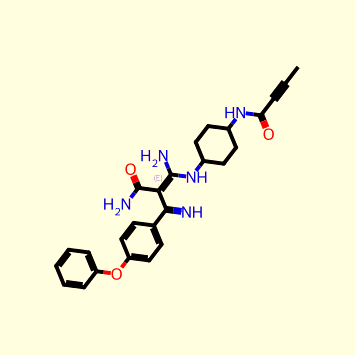 CC#CC(=O)NC1CCC(N/C(N)=C(\C(=N)c2ccc(Oc3ccccc3)cc2)C(N)=O)CC1